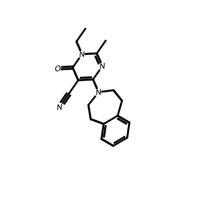 CCn1c(C)nc(N2CCc3ccccc3CC2)c(C#N)c1=O